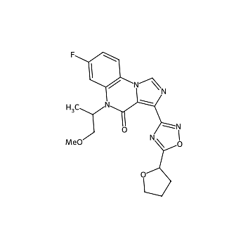 COCC(C)n1c(=O)c2c(-c3noc(C4CCCO4)n3)ncn2c2ccc(F)cc21